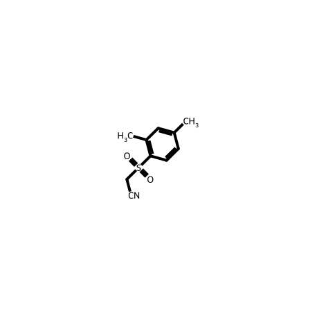 Cc1ccc(S(=O)(=O)CC#N)c(C)c1